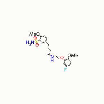 COc1ccc(F)cc1OCCNC(C)CCCc1ccc(OC)c(S(N)(=O)=O)c1